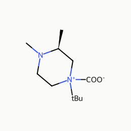 C[C@H]1C[N+](C(=O)[O-])(C(C)(C)C)CCN1C